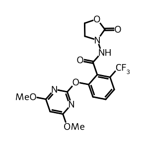 COc1cc(OC)nc(Oc2cccc(C(F)(F)F)c2C(=O)NN2CCOC2=O)n1